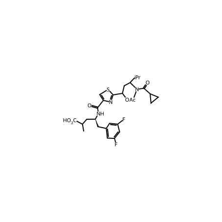 CC(=O)OC(CC(C(C)C)N(C)C(=O)C1CC1)c1nc(C(=O)N[C@@H](Cc2cc(F)cc(F)c2)CC(C)C(=O)O)cs1